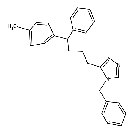 Cc1ccc(C(CCCc2cncn2Cc2ccccc2)c2ccccc2)cc1